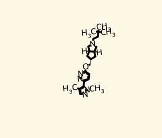 Cc1cnn(C)c1-c1ccc(OC[C@@H]2C[C@@H]3CN(CCC(C)(C)C)C[C@@H]3C2)nn1